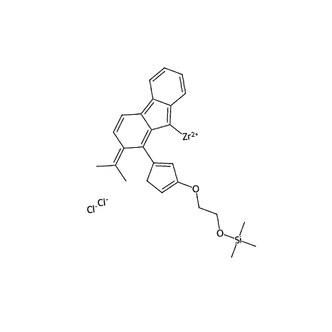 CC(C)=c1ccc2c(c1C1=CC(OCCO[Si](C)(C)C)=CC1)[C]([Zr+2])=c1ccccc1=2.[Cl-].[Cl-]